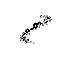 COC(=O)N[C@H](C(=O)N[C@@H](C)c1ncc(-c2ccc(C#Cc3ccc4nc([C@H](C)NC(=O)[C@@H](NC(=O)OC)C(C)C)[nH]c4c3)cc2)[nH]1)C(C)C